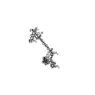 CC/N=c1/cc2oc3cc(NCC)c(C)cc3c(-c3ccc(C(=O)NCCOCCOCCOCCOCCC(=O)NCC(C)(C)SSCOC4C[C@H](n5cnc6c(N)ncnc65)O[C@@H]4COP(=O)(O)OP(=O)(O)OP(=O)(O)O)cc3C(=O)O)c-2cc1C